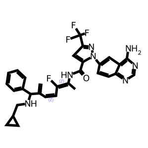 C=C(/C=C\C(F)=C(/C)NC(=O)c1cc(C(F)(F)F)nn1-c1ccc2ncnc(N)c2c1)C(NCC1CC1)c1ccccc1